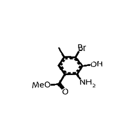 COC(=O)c1cc(C)c(Br)c(O)c1N